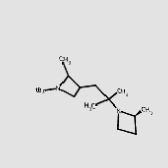 CC1C(CC(C)(C)N2CC[C@@H]2C)CN1C(C)(C)C